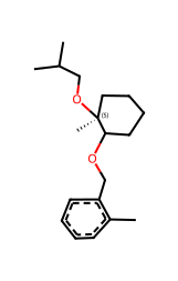 Cc1ccccc1COC1CCCC[C@]1(C)OCC(C)C